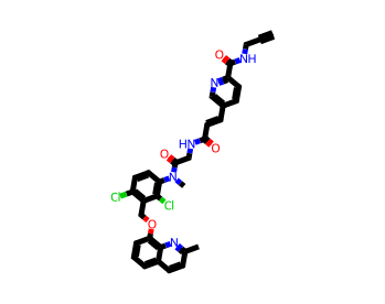 C#CCNC(=O)c1ccc(C=CC(=O)NCC(=O)N(C)c2ccc(Cl)c(COc3cccc4ccc(C)nc34)c2Cl)cn1